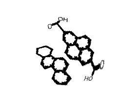 O=C(O)c1cc2ccc3cc(C(=O)O)cc4ccc(c1)c2c34.c1ccc2c(c1)ccc1c3c(ccc12)CCCC3